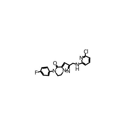 O=C1c2cc(CNc3cccc(Cl)n3)nn2CCN1c1ccc(F)cc1